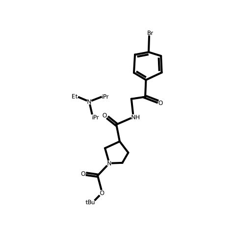 CC(C)(C)OC(=O)N1CCC(C(=O)NCC(=O)c2ccc(Br)cc2)C1.CCN(C(C)C)C(C)C